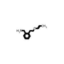 CC=COCCc1ccccc1CN